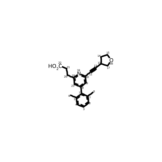 Cc1cccc(C)c1-c1cc(C#CC2CCOC2)nc(CCC(=O)O)c1